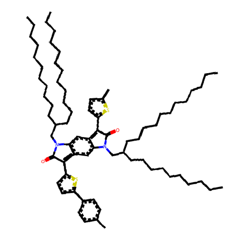 CCCCCCCCCCCCC(CCCCCCCCCC)CN1C(=O)C(c2ccc(C)s2)=c2cc3c(cc21)=C(c1ccc(-c2ccc(C)cc2)s1)C(=O)N3CC(CCCCCCCCCCC)CCCCCCCCCCCC